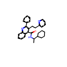 CC(NC(=O)c1c(CCc2ccccn2)c(-c2ccccc2)nc2ccccc12)C1CCCCC1